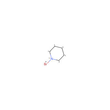 BrN1[CH]CCCC1